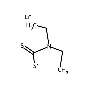 CCN(CC)C(=S)[S-].[Li+]